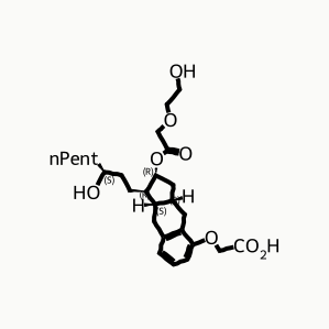 CCCCC[C@H](O)CC[C@@H]1[C@H]2Cc3cccc(OCC(=O)O)c3C[C@H]2C[C@H]1OC(=O)COCCO